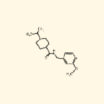 COc1cc(CNC(=O)C2CCN(C(C)C)CC2)ccn1